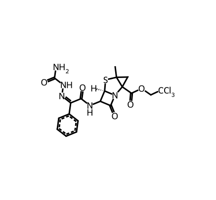 CC12CC1(C(=O)OCC(Cl)(Cl)Cl)N1C(=O)C(NC(=O)/C(=N\NC(N)=O)c3ccccc3)[C@H]1S2